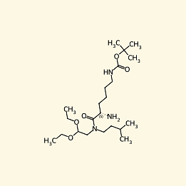 CCOC(CN(CCC(C)C)C(=O)[C@@H](N)CCCCNC(=O)OC(C)(C)C)OCC